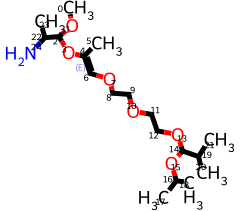 COC(O/C(C)=C/OCCOCCOC(OC(C)C)C(C)C)C(C)N